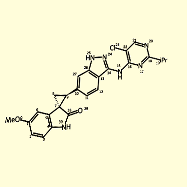 COc1ccc2c(c1)[C@]1(C[C@H]1c1ccc3c(Nc4nc(C(C)C)ncc4Cl)n[nH]c3c1)C(=O)N2